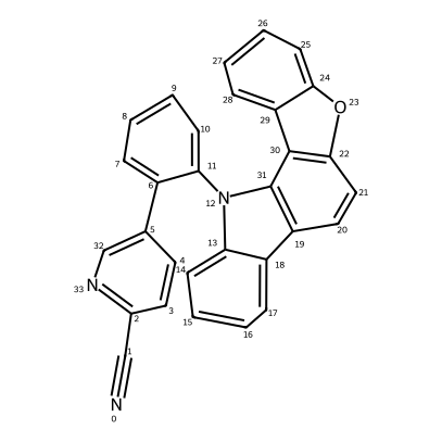 N#Cc1ccc(-c2ccccc2-n2c3ccccc3c3ccc4oc5ccccc5c4c32)cn1